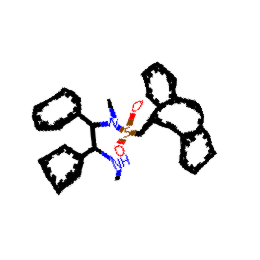 CNC(c1ccccc1)C(c1ccccc1)N(C)S(=O)(=O)Cc1c2ccccc2cc2ccccc12